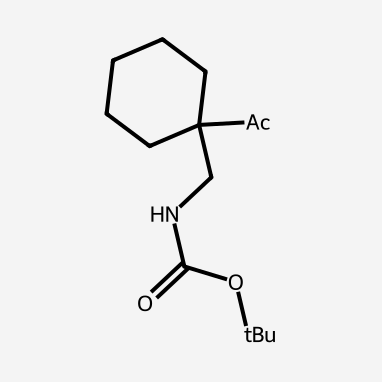 CC(=O)C1(CNC(=O)OC(C)(C)C)CCCCC1